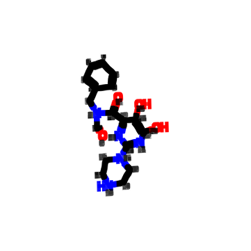 O=CN(Cc1ccccc1)C(=O)c1nc(N2CCNCC2)nc(O)c1O